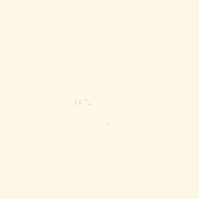 CC=CC(=O)OC(C)(C)O[Si](CN)(OC(C)C)c1ccccc1